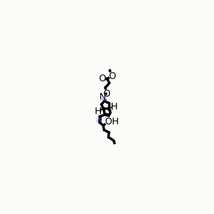 CCCCCC(O)/C=C\C1=CC[C@@H]2C/C(=N\OCCC(=O)OC)C[C@@H]12